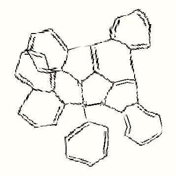 c1ccc([Si]2(c3cccc4ccccc34)n3c4ccccc4c4c5ccccc5c5c6ccccc6n2c5c43)cc1